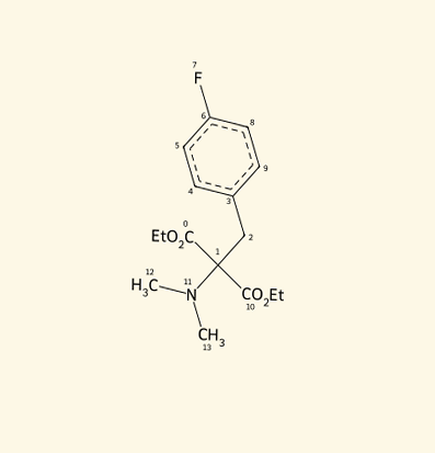 CCOC(=O)C(Cc1ccc(F)cc1)(C(=O)OCC)N(C)C